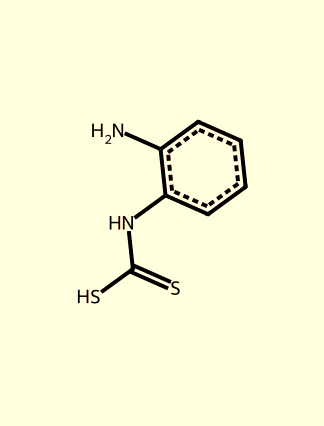 Nc1ccccc1NC(=S)S